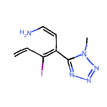 C=C/C(I)=C(\C=C/N)c1nnnn1C